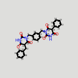 O=C1NC(=O)N(Cc2cccc(CN3C(=O)NC(=O)C(c4ccccc4)C3=O)c2)C(=O)C1Cc1ccccc1